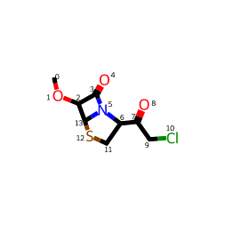 COC1C(=O)N2C(C(=O)CCl)CSC12